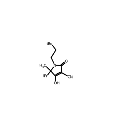 CC(C)C1(C)C(O)=C(C#N)C(=O)N1CCC(C)(C)C